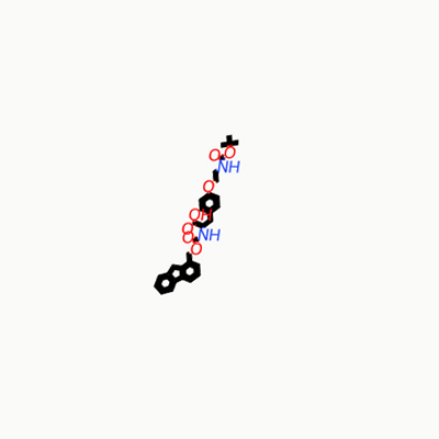 CC(C)(C)OC(=O)NCCOc1ccc(CC(NC(=O)OCc2cccc3c2Cc2ccccc2-3)C(=O)O)cc1